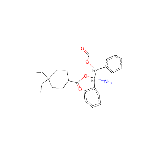 CCC1(CC)CCC(C(=O)O[C@](N)(c2ccccc2)[C@H](OC=O)c2ccccc2)CC1